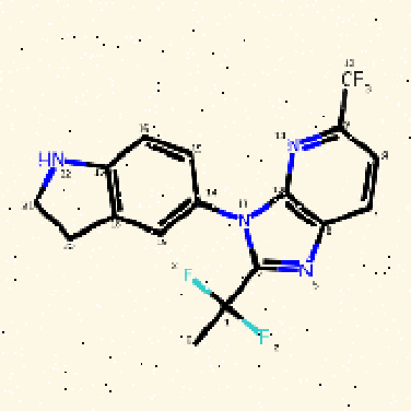 CC(F)(F)c1nc2ccc(C(F)(F)F)nc2n1-c1ccc2c(c1)CCN2